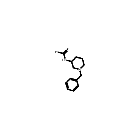 CC(C)C(=O)NC1CCCN(Cc2ccccc2)C1